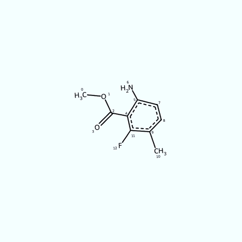 COC(=O)c1c(N)ccc(C)c1F